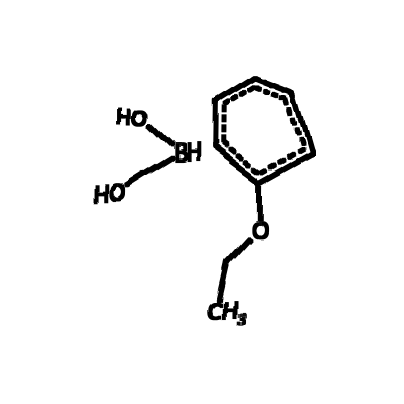 CCOc1ccccc1.OBO